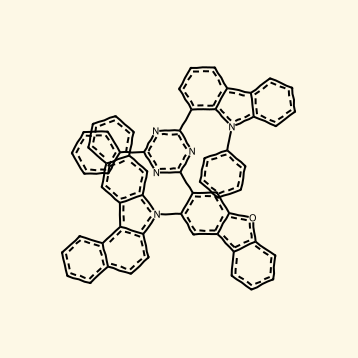 c1ccc(-c2nc(-c3cc4oc5ccccc5c4cc3-n3c4cc5ccccc5cc4c4c5ccccc5ccc43)nc(-c3cccc4c5ccccc5n(-c5ccccc5)c34)n2)cc1